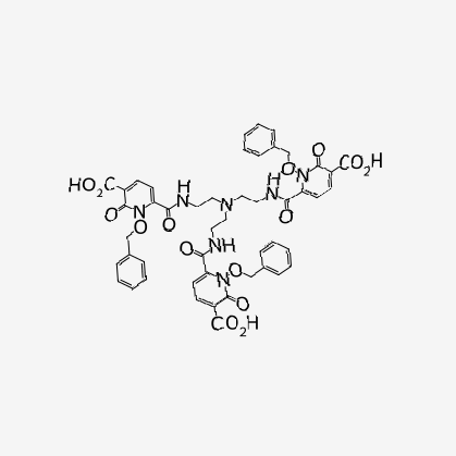 O=C(O)c1ccc(C(=O)NCCN(CCNC(=O)c2ccc(C(=O)O)c(=O)n2OCc2ccccc2)CCNC(=O)c2ccc(C(=O)O)c(=O)n2OCc2ccccc2)n(OCc2ccccc2)c1=O